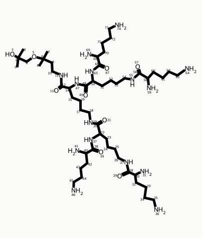 CC(C)(O)COC(C)(C)CCNC(=O)C(CCCCNC(=O)C(CCCCNC(=O)C(N)CCCCN)NC(=O)C(N)CCCCN)NC(=O)C(CCCCNC(=O)C(N)CCCCN)NC(=O)C(N)CCCCN